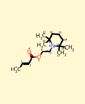 CC=CC(=O)OCCN1C(C)(C)CCCC1(C)C